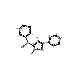 Cn1nc(-c2ccccn2)nc1N(F)c1ccccc1